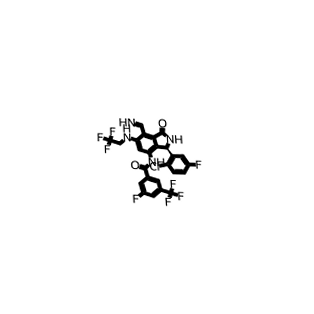 N=Cc1c(NCC(F)(F)F)cc(NC(=O)c2cc(F)cc(C(F)(F)F)c2)c2c1C(=O)N[C@H]2c1cc(F)ccc1Cl